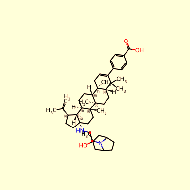 C=C(C)[C@@H]1CC[C@]2(NCCN3C4CCC3CC(C)(O)C4)CC[C@]3(C)[C@H](CC[C@@H]4[C@@]5(C)CC=C(c6ccc(C(=O)O)cc6)C(C)(C)[C@@H]5CC[C@]43C)[C@@H]12